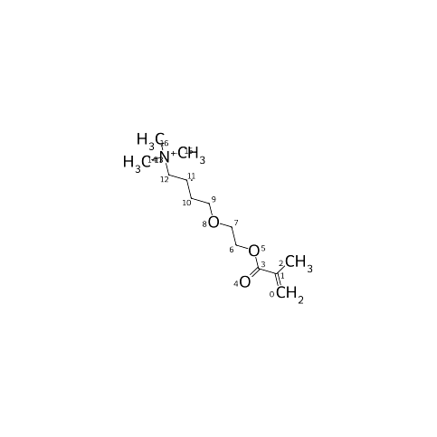 C=C(C)C(=O)OCCOCC[CH]C[N+](C)(C)C